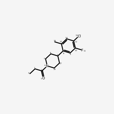 CCC(=O)N1CCC(c2cc(F)c(Cl)cc2C)CC1